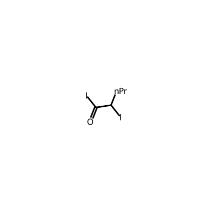 CCCC(I)C(=O)I